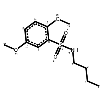 CCCCNS(=O)(=O)c1cc(OC)ccc1OC